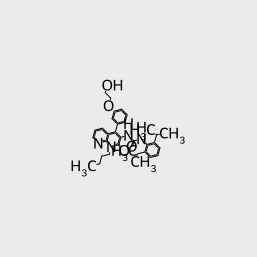 CCCCn1c(=O)c(NC(=O)Nc2c(C(C)C)cccc2C(C)C)c(-c2cccc(OCCO)c2)c2cccnc21